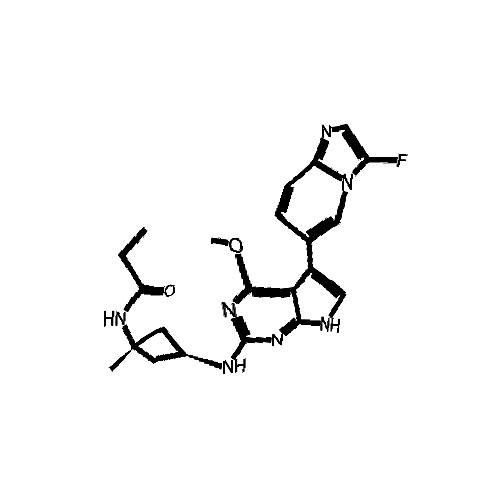 CCC(=O)N[C@]1(C)C[C@@H](Nc2nc(OC)c3c(-c4ccc5ncc(F)n5c4)c[nH]c3n2)C1